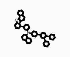 c1ccc(-c2ccc(-c3ccc(N(c4cccc(-c5cccc6oc7c8ccccc8ccc7c56)c4)c4cccc5ccccc45)cc3)cc2-c2ccccc2)cc1